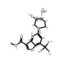 COC(=O)c1csc2c(C(F)(F)F)cc(N3CC[C@@H](O)[C@H](F)C3)nc12